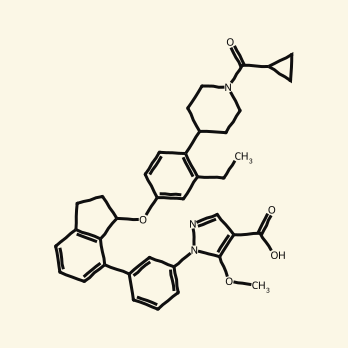 CCc1cc(OC2CCc3cccc(-c4cccc(-n5ncc(C(=O)O)c5OC)c4)c32)ccc1C1CCN(C(=O)C2CC2)CC1